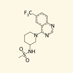 CS(=O)(=O)NC1CCCN(c2ncnc3ccc(C(F)(F)F)cc23)C1